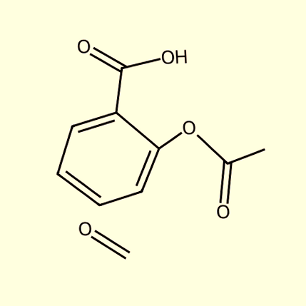 C=O.CC(=O)Oc1ccccc1C(=O)O